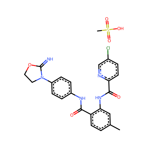 CS(=O)(=O)O.Cc1ccc(C(=O)Nc2ccc(N3CCOC3=N)cc2)c(NC(=O)c2ccc(Cl)cn2)c1